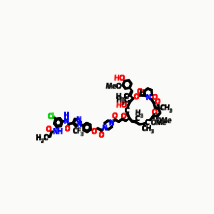 C=CC(=O)Nc1cc(Cl)cc(NC(=O)c2cnn(-c3ccc(OCC(=O)N4CCN(C(=O)CCC[C@@H]5/C=C(\C)C[C@H](C)C[C@H](OC)[C@H]6O[C@@]7(C[C@@]7(C)C[C@@H]6OC)C(=O)C(=O)N6CCCC[C@H]6C(=O)O[C@H](/C(C)=C/[C@@H]6CC[C@@H](O)[C@H](OC)C6)[C@H](C)[C@@H](O)CC5=O)CC4)cc3)c2C(F)(F)F)c1